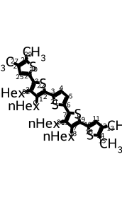 CCCCCCc1c(-c2ccc(-c3sc(-c4cc(C)c(C)s4)c(CCCCCC)c3CCCCCC)s2)sc(-c2cc(C)c(C)s2)c1CCCCCC